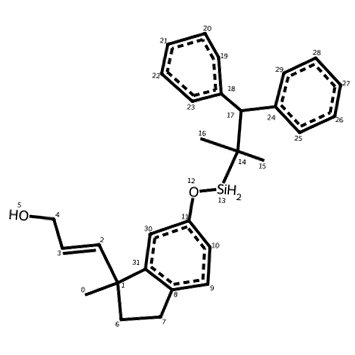 CC1(/C=C/CO)CCc2ccc(O[SiH2]C(C)(C)C(c3ccccc3)c3ccccc3)cc21